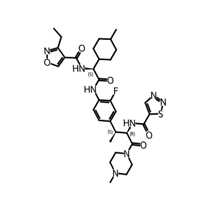 CCc1nocc1C(=O)N[C@H](C(=O)Nc1ccc([C@H](C)[C@@H](NC(=O)c2cnns2)C(=O)N2CCN(C)CC2)cc1F)C1CCC(C)CC1